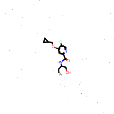 CC(C)CC(CO)NC(=O)c1cc(OCC2CC2)c(Cl)cn1